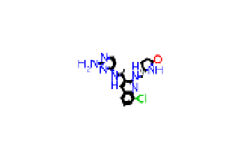 C[C@H](Nc1ccnc(N)n1)c1cc2cccc(Cl)c2nc1NC[C@@H]1CCC(=O)N1